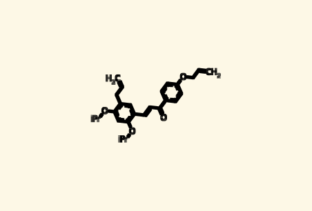 C=CCOc1ccc(C(=O)C=Cc2cc(CC=C)c(OC(C)C)cc2OC(C)C)cc1